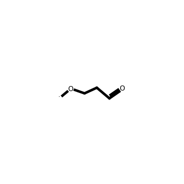 [CH2]OCCC=O